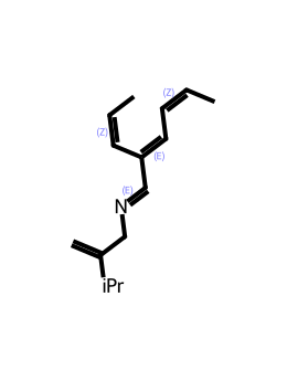 C=C(C/N=C/C(/C=C\C)=C/C=C\C)C(C)C